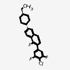 CC[C@H]1CC[C@H](c2ccc3c(F)c(-c4cc(F)c(Cl)c(F)c4)ccc3c2)CC1